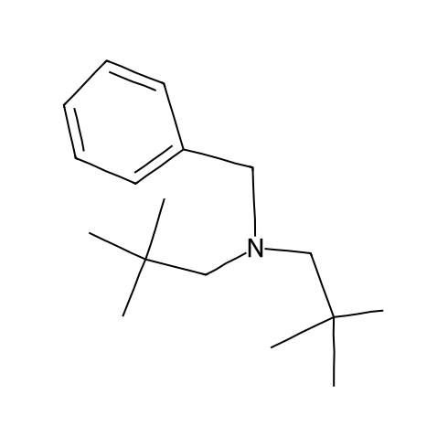 CC(C)(C)CN(Cc1ccccc1)CC(C)(C)C